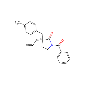 C=CC[C@]1(Cc2ccc(C(F)(F)F)cc2)CCN(C(=O)c2ccccc2)C1=O